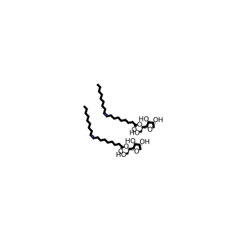 CCCCCCCC/C=C\CCCCCCCC(=O)O[C@H](CO)[C@H]1OC[C@H](O)[C@H]1O.CCCCCCCC/C=C\CCCCCCCC(=O)O[C@H](CO)[C@H]1OC[C@H](O)[C@H]1O